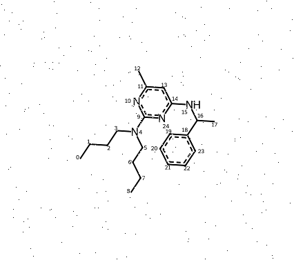 CCCCN(CCCC)c1nc(C)cc(NC(C)c2ccccc2)n1